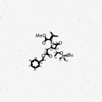 COC(=O)C(=C(C)C)N1C(=O)[C@H](C(C)O[Si](C)(C)C(C)(C)C)[C@H]1CC(=O)OCc1ccccc1